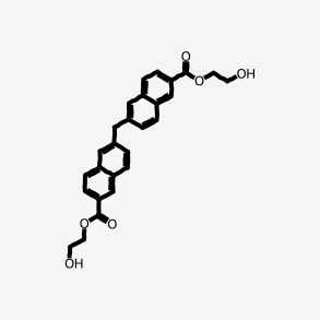 O=C(OCCO)c1ccc2cc(Cc3ccc4cc(C(=O)OCCO)ccc4c3)ccc2c1